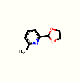 [SiH3]c1cccc(C2OCCO2)n1